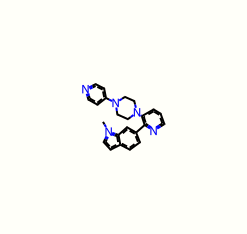 Cn1ccc2ccc(-c3ncccc3N3CCN(c4ccncc4)CC3)cc21